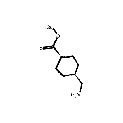 CCCCOC(=O)[C@H]1CC[C@@H](CN)CC1